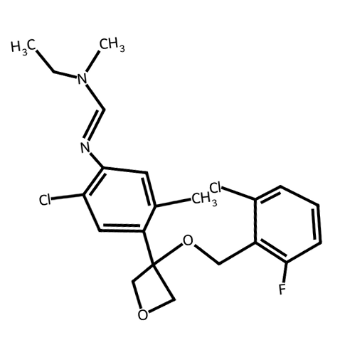 CCN(C)C=Nc1cc(C)c(C2(OCc3c(F)cccc3Cl)COC2)cc1Cl